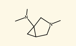 CN1CC2CC2(N(C)C)C1